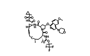 CC[C@@H]1C[C@@H](C)CC/C=C\[C@@H]2C[C@@]2(C(=O)NS(=O)(=O)C2(C)CC2)NC(=O)C2C[C@@H](Oc3ncc(N4CCOCC4)c4cc(OC)ccc34)CN2C(=O)[C@H]1NC(=O)OC(C)(C)C(F)(F)F